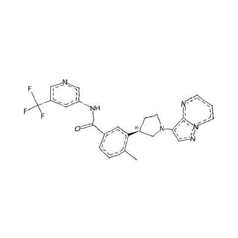 Cc1ccc(C(=O)Nc2cncc(C(F)(F)F)c2)cc1[C@H]1CCN(c2cnn3cccnc23)C1